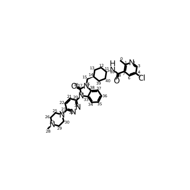 Cc1ncc(Cl)cc1C(=O)N[C@H]1CC[C@H](Cn2c(=O)n(-c3ccc(N4CCN(C)CC4)nn3)c3ccccc32)CC1